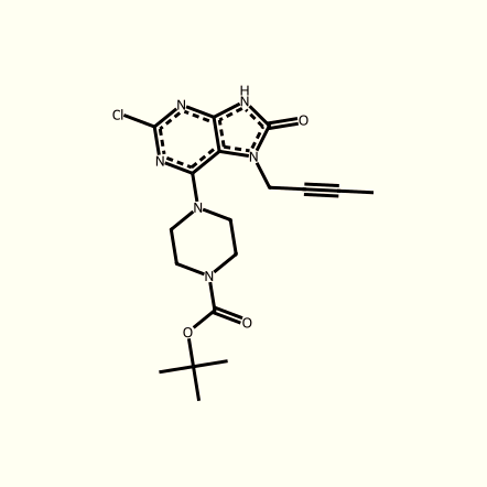 CC#CCn1c(=O)[nH]c2nc(Cl)nc(N3CCN(C(=O)OC(C)(C)C)CC3)c21